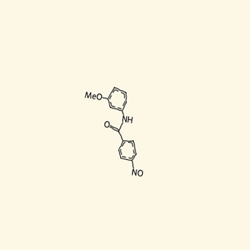 COc1cccc(NC(=O)c2ccc(N=O)cc2)c1